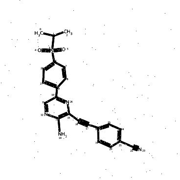 CC(C)S(=O)(=O)c1ccc(-c2cnc(N)c(C#Cc3ccc(C#N)cc3)n2)cc1